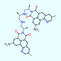 Cc1cnc2c(c1)cc1c3c(cc([N+](=O)[O-])cc32)C(=O)N([C@H](C)CNC[C@@H](C)NC[C@@H](C)N2C(=O)c3cc([N+](=O)[O-])cc4c3c(cc3cc(C)cnc34)C2=O)C1=O